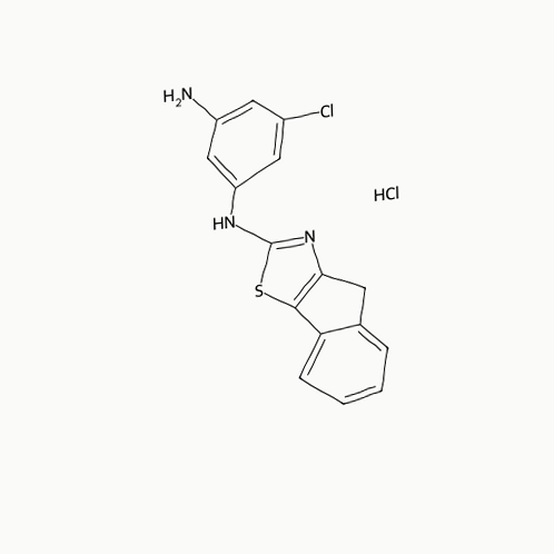 Cl.Nc1cc(Cl)cc(Nc2nc3c(s2)-c2ccccc2C3)c1